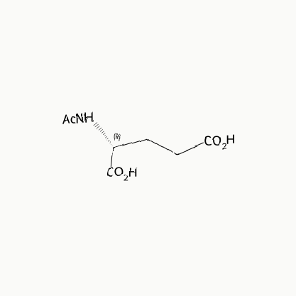 CC(=O)N[C@H](CCC(=O)O)C(=O)O